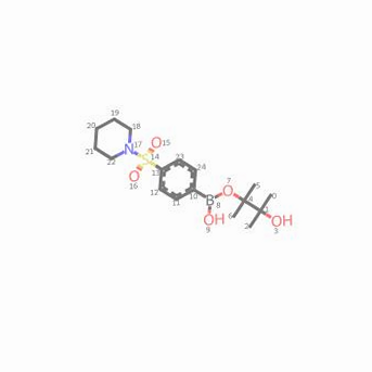 CC(C)(O)C(C)(C)OB(O)c1ccc(S(=O)(=O)N2CCCCC2)cc1